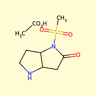 CC(=O)O.CS(=O)(=O)N1C(=O)CC2NCCC21